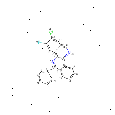 Fc1cc2c(N=C(c3ccccc3)c3ccccc3)cncc2cc1Cl